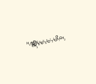 C=CC(=O)OCCCOCCCOCCCO[Si](C)(C)C